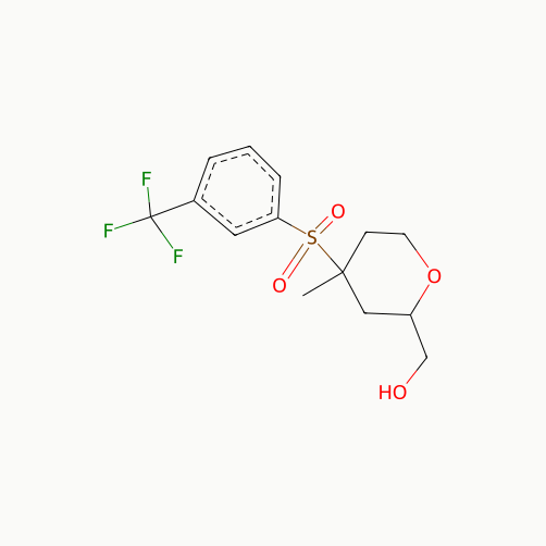 CC1(S(=O)(=O)c2cccc(C(F)(F)F)c2)CCOC(CO)C1